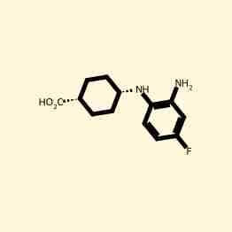 Nc1cc(F)ccc1N[C@H]1CC[C@@H](C(=O)O)CC1